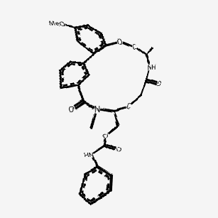 COc1ccc2c(c1)-c1cccc(c1)C(=O)N(C)[C@H](COC(=O)Nc1ccccc1)CCC(=O)N[C@H](C)CO2